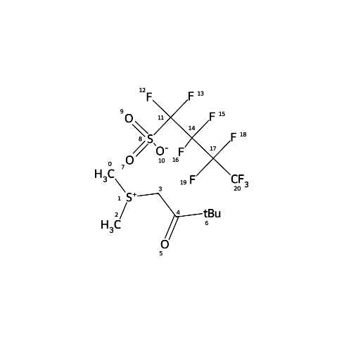 C[S+](C)CC(=O)C(C)(C)C.O=S(=O)([O-])C(F)(F)C(F)(F)C(F)(F)C(F)(F)F